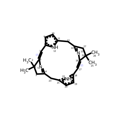 CC1(C)CC2=N/C1=C\c1ccc([nH]1)CC1=N/C(=C\c3ccc([nH]3)C2)C(C)(C)C1